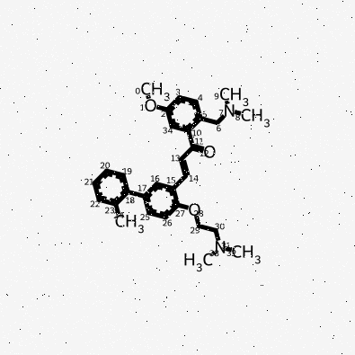 COc1ccc(CN(C)C)c(C(=O)C=Cc2cc(-c3ccccc3C)ccc2OCCN(C)C)c1